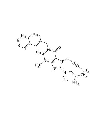 CC#CCn1c(N(C)CC(C)N)nc2c1c(=O)n(Cc1ccc3nccnc3c1)c(=O)n2C